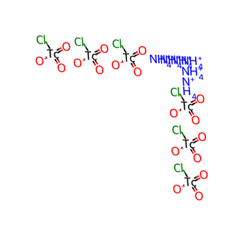 [NH4+].[NH4+].[NH4+].[NH4+].[NH4+].[NH4+].[O]=[Tc](=[O])([O-])[Cl].[O]=[Tc](=[O])([O-])[Cl].[O]=[Tc](=[O])([O-])[Cl].[O]=[Tc](=[O])([O-])[Cl].[O]=[Tc](=[O])([O-])[Cl].[O]=[Tc](=[O])([O-])[Cl]